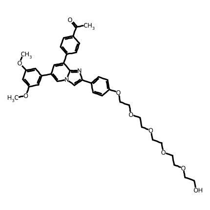 COc1cc(OC)cc(-c2cc(-c3ccc(C(C)=O)cc3)c3nc(-c4ccc(OCCOCCOCCOCCOCCO)cc4)cn3c2)c1